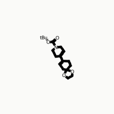 CC(C)(C)OC(=O)N1CC=C(C2=CCC3(CC2)OCCO3)CC1